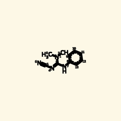 CN(C)/C(=N\C#N)Nc1ccccc1